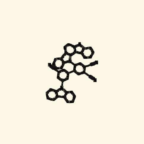 N#Cc1cc(-c2cc(C#N)c(C#N)cc2-n2c3ccccc3c3ccc4sc5ccccc5c4c32)cc(-n2c3ccccc3c3ccccc32)c1